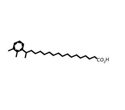 Cc1cccc(C(C)CCCCCCCCCCCCCCCC(=O)O)c1C